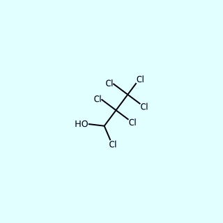 OC(Cl)C(Cl)(Cl)C(Cl)(Cl)Cl